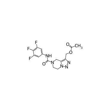 CC(=O)OCc1nnn2c1CN(C(=O)Nc1cc(F)c(F)c(F)c1)CC2